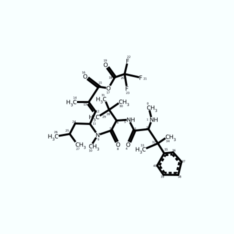 CNC(C(=O)NC(C(=O)N(C)C(C=C(C)C(=O)OC(=O)C(F)(F)F)CC(C)C)C(C)(C)C)C(C)(C)c1ccccc1